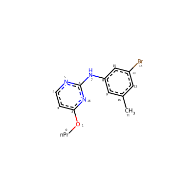 CCCOc1ccnc(Nc2cc(C)cc(Br)c2)n1